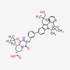 CCn1c(-c2cccnc2[C@H](C)OC)c(CC(C)(C)CO)c2cc(-c3cccc(C[C@H](NC(=O)OC(C)(C)C)C(=O)N4CCC[C@@H](C(=O)O)C4)c3)ccc21